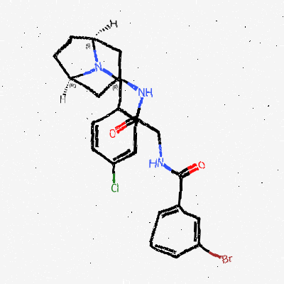 O=C(CNC(=O)c1cccc(Br)c1)N[C@H]1C[C@H]2CC[C@@H](C1)N2CC1C=CC(Cl)=CC1